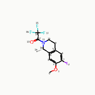 COc1cc2c(cc1I)CCN(C(=O)C(F)(F)F)[C@H]2C